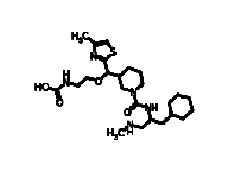 CNCC(CC1CCCCC1)NC(=O)N1CCCC(C(OCCNC(=O)O)c2nc(C)cs2)C1